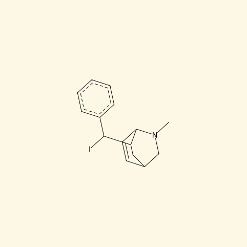 CN1CC2C=CC1C(C(I)c1ccccc1)C2